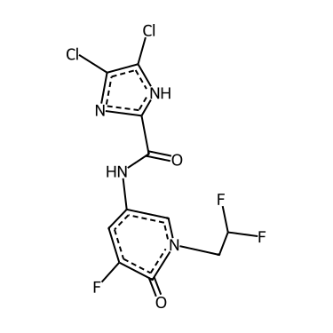 O=C(Nc1cc(F)c(=O)n(CC(F)F)c1)c1nc(Cl)c(Cl)[nH]1